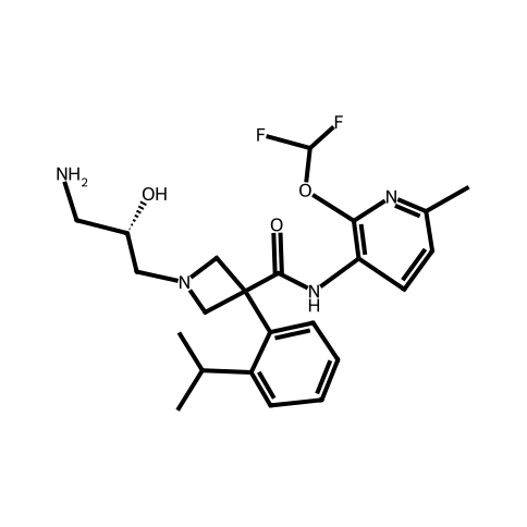 Cc1ccc(NC(=O)C2(c3ccccc3C(C)C)CN(C[C@@H](O)CN)C2)c(OC(F)F)n1